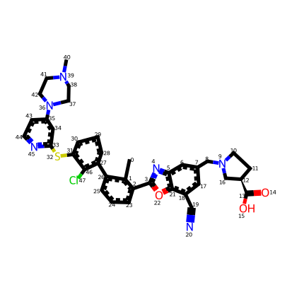 Cc1c(-c2nc3cc(CN4CC[C@@H](C(=O)O)C4)cc(C#N)c3o2)cccc1-c1cccc(Sc2cc(N3CCN(C)CC3)ccn2)c1Cl